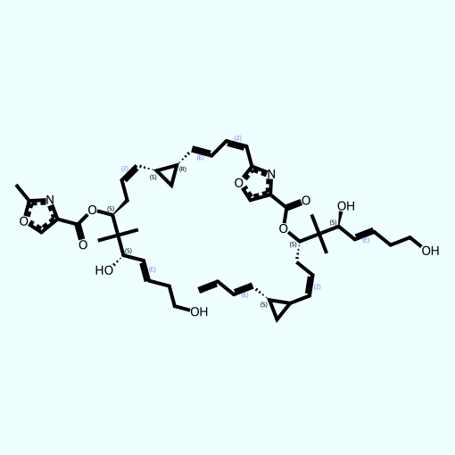 C=C/C=C/[C@H]1CC1/C=C\C[C@H](OC(=O)c1coc(/C=C\C=C\[C@@H]2C[C@@H]2/C=C\C[C@H](OC(=O)c2coc(C)n2)C(C)(C)[C@@H](O)/C=C/CCO)n1)C(C)(C)[C@@H](O)/C=C/CCO